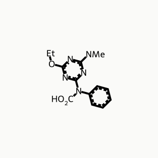 CCOc1nc(NC)nc(N(C(=O)O)c2ccccc2)n1